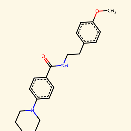 COc1ccc(CCNC(=O)c2ccc(N3CCCCC3)cc2)cc1